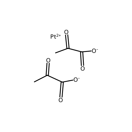 CC(=O)C(=O)[O-].CC(=O)C(=O)[O-].[Pt+2]